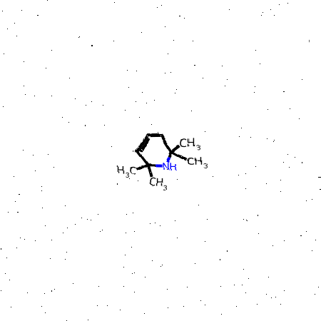 CC1(C)[C]=CCC(C)(C)N1